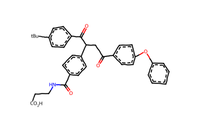 CC(C)(C)c1ccc(C(=O)C(CC(=O)c2ccc(Oc3ccccc3)cc2)c2ccc(C(=O)NCCC(=O)O)cc2)cc1